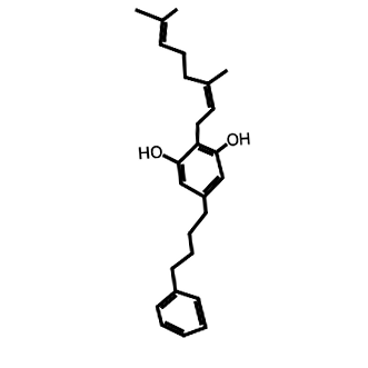 CC(C)=CCCC(C)=CCc1c(O)cc(CCCCc2ccccc2)cc1O